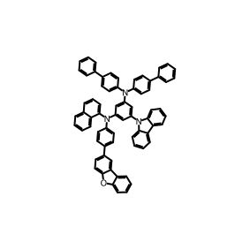 c1ccc(-c2ccc(N(c3ccc(-c4ccccc4)cc3)c3cc(N(c4ccc(-c5ccc6oc7ccccc7c6c5)cc4)c4cccc5ccccc45)cc(-n4c5ccccc5c5ccccc54)c3)cc2)cc1